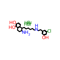 Br.Br.NC1CCc2c(ccc(O)c2O)C1CCCCCCNCCc1cc(O)cc(Cl)c1